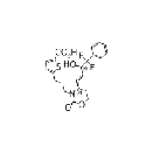 O=C(O)c1ccc(CCCN2C(=O)OCC[C@@H]2C=C[C@@H](O)C(F)(F)c2ccccc2)s1